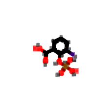 O=C(O)c1cccc(I)c1OS(=O)(=O)O